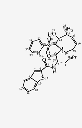 CC(C)C[C@H](NC(=O)c1cc2ccccc2s1)C(=O)N1CCC=CC(N)C(O)C1S(=O)(=O)c1ccccn1